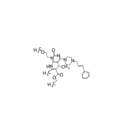 CCOC(=O)C1=C(C)Nc2c(c(N3CCN(C/C=C/c4ccccc4)CC3)nc(=O)n2CCOC)C1C